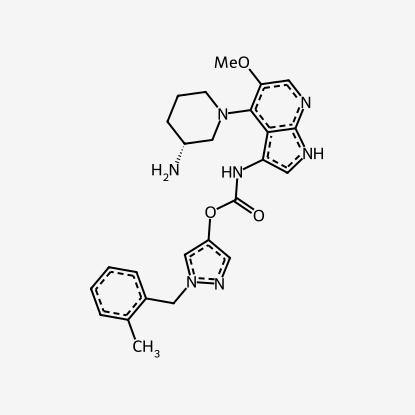 COc1cnc2[nH]cc(NC(=O)Oc3cnn(Cc4ccccc4C)c3)c2c1N1CCC[C@@H](N)C1